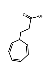 O=C(O)CCC1C=CC=CC=C1